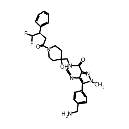 Cn1nc2c(=O)n(CC3(O)CCN(C(=O)C[C@H](c4ccccc4)C(F)F)CC3)cnc2c1-c1ccc(CN)cc1